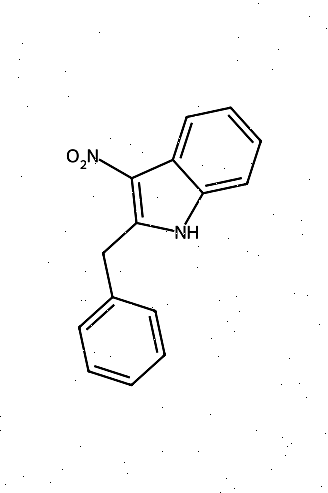 O=[N+]([O-])c1c(Cc2ccccc2)[nH]c2ccccc12